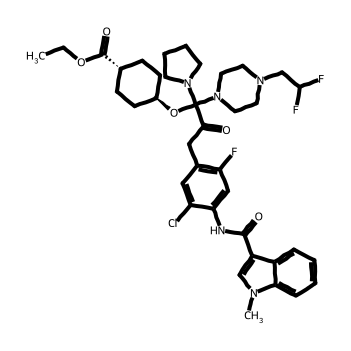 CCOC(=O)[C@H]1CC[C@H](OC(C(=O)Cc2cc(Cl)c(NC(=O)c3cn(C)c4ccccc34)cc2F)(N2CCCC2)N2CCN(CC(F)F)CC2)CC1